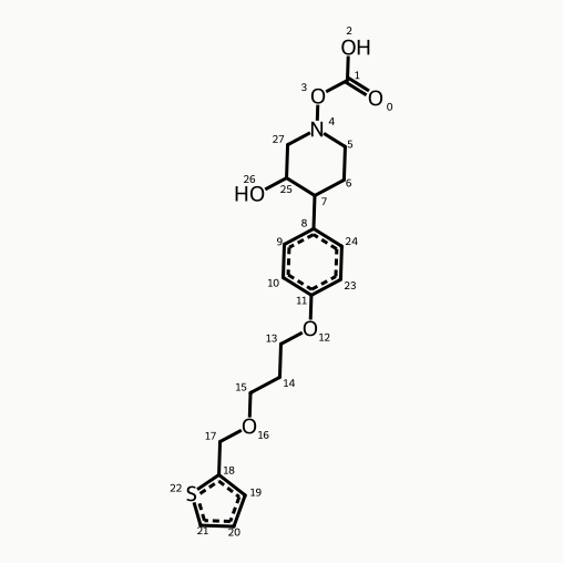 O=C(O)ON1CCC(c2ccc(OCCCOCc3cccs3)cc2)C(O)C1